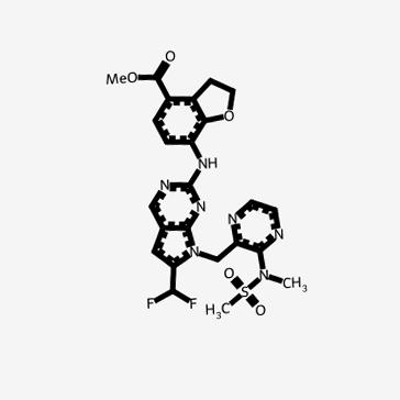 COC(=O)c1ccc(Nc2ncc3cc(C(F)F)n(Cc4nccnc4N(C)S(C)(=O)=O)c3n2)c2c1CCO2